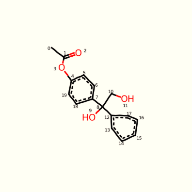 CC(=O)Oc1ccc(C(O)(CO)c2ccccc2)cc1